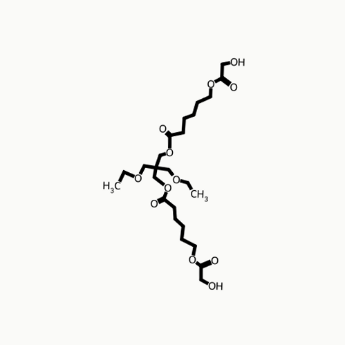 CCOCC(COCC)(COC(=O)CCCCCOC(=O)CO)COC(=O)CCCCCOC(=O)CO